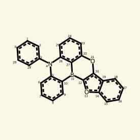 c1ccc(N2c3ccccc3B3c4oc5ccccc5c4Oc4cccc2c43)cc1